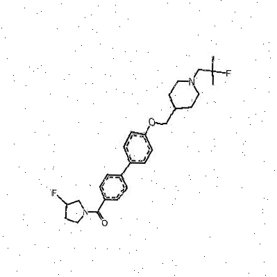 CC(C)(F)CN1CCC(COc2ccc(-c3ccc(C(=O)N4CCC(F)C4)cc3)cc2)CC1